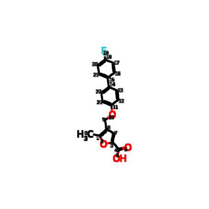 Cc1oc(C(=O)O)cc1COc1ccc(-c2ccc(F)cc2)cc1